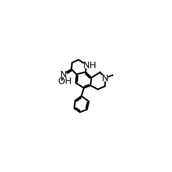 CN1CCc2c(-c3ccccc3)cc3c(c2C1)NCC/C3=N/O